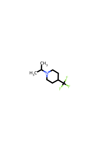 CC(C)N1CC[C](C(F)(F)F)CC1